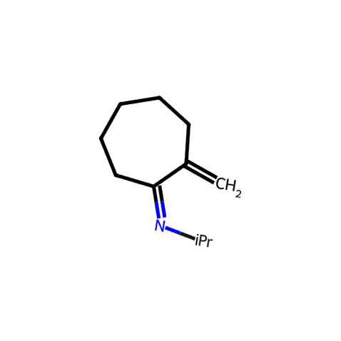 C=C1CCCCC/C1=N/C(C)C